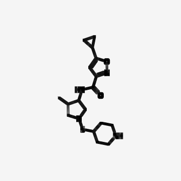 CC1CN(SC2CCNCC2)CC1NC(=O)c1cc(C2CC2)on1